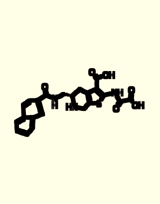 O=C(O)C(=O)Nc1sc2c(c1C(=O)O)C[C@@H](CNC(=O)c1ccc3ccccc3c1)NC2